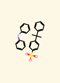 CC(C)(c1ccccc1)c1ccc(S(=O)(=O)[O-])cc1.c1ccc([I+]c2ccccc2)cc1